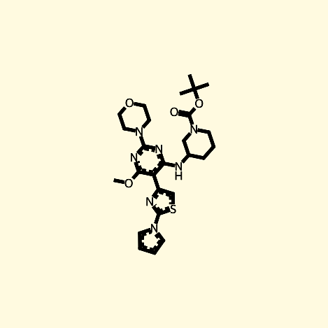 COc1nc(N2CCOCC2)nc(NC2CCCN(C(=O)OC(C)(C)C)C2)c1-c1csc(-n2cccc2)n1